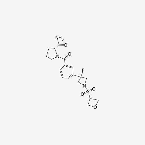 NC(=O)[C@H]1CCCN1C(=O)c1cccc(C2(F)CN(S(=O)(=O)C3COC3)C2)c1